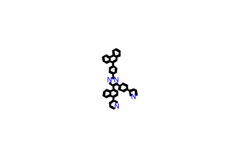 c1cncc(-c2ccc(-c3nc(-c4ccc(-c5cc6ccccc6c6ccccc56)cc4)ncc3-c3ccc(-c4cccnc4)c4ccccc34)cc2)c1